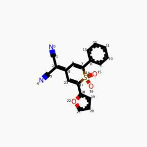 N#CC(C#N)=C1C=C(c2ccccc2)S(=O)(=O)C(c2ccco2)=C1